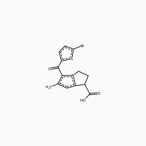 Cc1cc2n(c1C(=O)c1ccc(Br)s1)CCC2C(=O)O